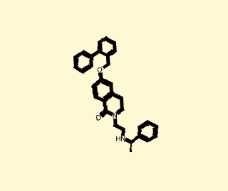 C[C@@H](NCCN1CCc2cc(OCc3ccccc3-c3ccccc3)ccc2C1=O)c1ccccc1